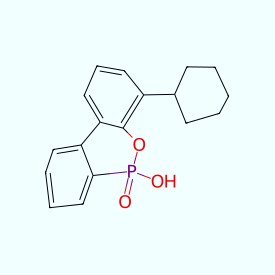 O=P1(O)Oc2c(cccc2C2CCCCC2)-c2ccccc21